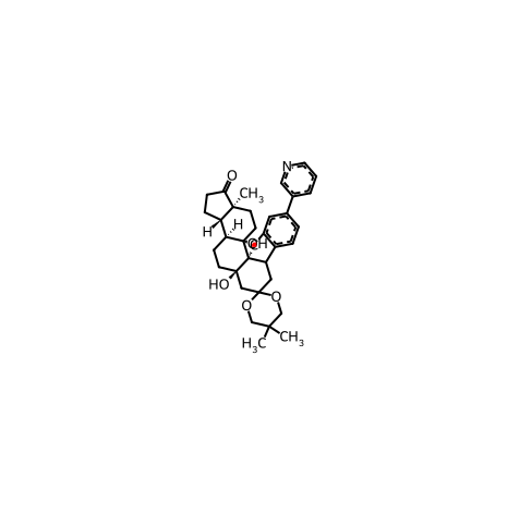 CC1(C)COC2(CC3c4ccc(-c5cccnc5)cc4C[C@@]34[C@@](O)(CC[C@H]3[C@@H]5CCC(=O)[C@@]5(C)CC[C@@]34O)C2)OC1